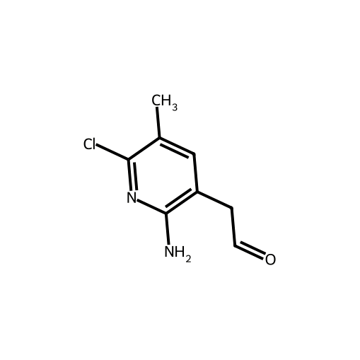 Cc1cc(CC=O)c(N)nc1Cl